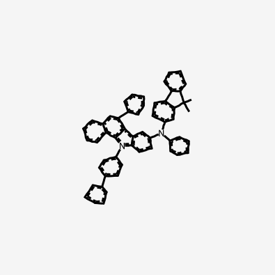 CC1(C)c2ccccc2-c2ccc(N(c3ccccc3)c3ccc4c(c3)c3c(-c5ccccc5)cc5ccccc5c3n4-c3ccc(-c4ccccc4)cc3)cc21